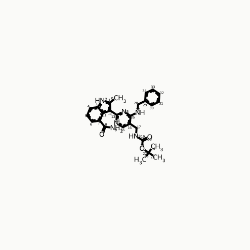 Cc1[nH]c2cccc(C(N)=O)c2c1-c1ncc(CNC(=O)OC(C)(C)C)c(NCc2ccccc2)n1